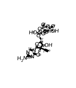 C#CC1(F)[C@@H](O)[C@@H](COP(=O)(O)OP(=O)(O)OP(=O)(O)O)O[C@H]1n1cnc(N)nc1=O